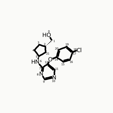 OC[C@H]1CC[C@H](Nc2ncncc2Oc2ccc(Cl)cc2)C1